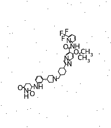 CC(C)Oc1cc2nc(C3CCC(CN4CCC(c5cccc(NC6CCC(=O)NC6=O)c5)CC4)CC3)cn2cc1C(=O)Nc1cccc(C(F)(F)F)n1